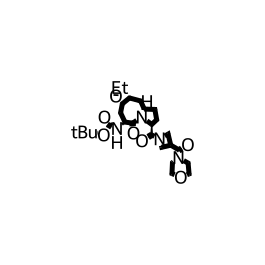 CCO[C@@H]1CC[C@H]2CC[C@@H](C(=O)N3CC(C(=O)N4CCOCC4)C3)N2C(=O)[C@@H](NC(=O)OC(C)(C)C)C1